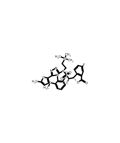 COc1cccc(OC)c1-n1c(-c2ccc(C)o2)nnc1N(CC[Si](C)(C)C)S(=O)(=O)[C@H](C)[C@H]1OC(=O)c2cc(F)ccc21